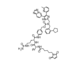 Cc1cccc(-c2nc(CN(Cc3ccccc3C3CCCC3)C(=O)OCc3ccc(NC(=O)[C@H](CCCNC(N)=O)NC(=O)C(NC(=O)CCCCCN4C(=O)C=CC4=O)C(C)C)cc3)[nH]c2-c2ccc3ncnn3c2)n1